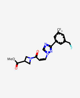 COC(=O)C1CN(C(=O)/C=C\n2cnc(-c3cc(CF)cc(C(F)(F)F)c3)n2)C1